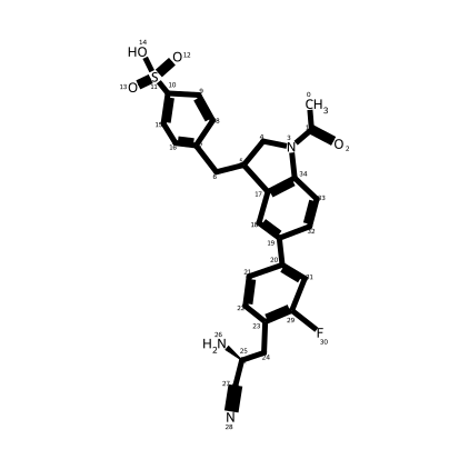 CC(=O)N1CC(Cc2ccc(S(=O)(=O)O)cc2)c2cc(-c3ccc(C[C@H](N)C#N)c(F)c3)ccc21